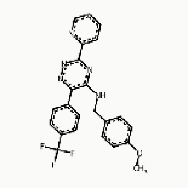 COc1ccc(CNc2nc(-c3ccccn3)nnc2-c2ccc(C(F)(F)F)cc2)cc1